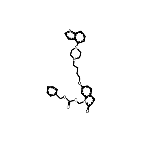 O=C(OCc1ccccc1)OCn1c(=O)ccc2ccc(OCCCCN3CCN(c4cccc5sccc45)CC3)cc21